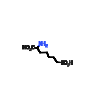 NC(CCCCCS(=O)(=O)O)C(=O)O